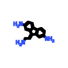 NCC=C1c2cc(N)ccc2-c2ccc(N)cc21